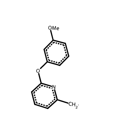 [CH2]c1cccc(Oc2cccc(OC)c2)n1